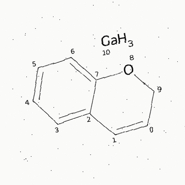 C1=Cc2ccccc2OC1.[GaH3]